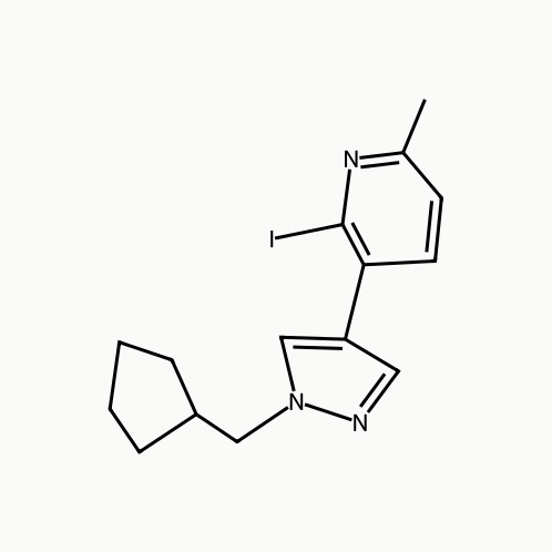 Cc1ccc(-c2cnn(CC3CCCC3)c2)c(I)n1